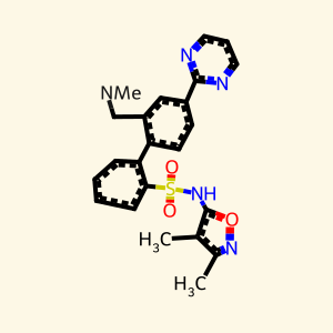 CNCc1cc(-c2ncccn2)ccc1-c1ccccc1S(=O)(=O)Nc1onc(C)c1C